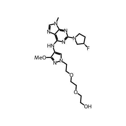 COc1nn(CCOCCOCCO)cc1Nc1nc(N2CC[C@@H](F)C2)nc2c1ncn2C